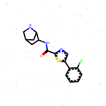 O=C(NC1CC2CNC1C2)c1ncc(-c2ccccc2Cl)s1